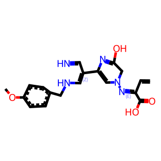 C=C/C(=N\N1C=C(/C(C=N)=C/NCc2ccc(OC)cc2)N=C(O)C1)C(=O)O